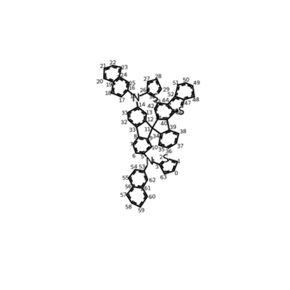 c1csc(N(c2ccc3c(c2)C2(c4cc(N(c5ccc6ccccc6c5)c5cccs5)ccc4-3)c3ccccc3-c3c2ccc2c3sc3ccccc32)c2ccc3ccccc3c2)c1